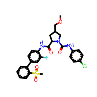 COCC1CC(C(=O)Nc2ccc(-c3ccccc3S(C)(=O)=O)cc2F)N(C(=O)Nc2ccc(Cl)cc2)C1